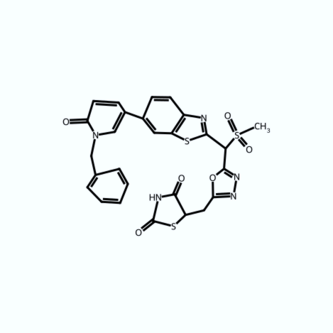 CS(=O)(=O)C(c1nnc(CC2SC(=O)NC2=O)o1)c1nc2ccc(-c3ccc(=O)n(Cc4ccccc4)c3)cc2s1